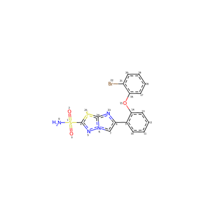 NS(=O)(=O)c1nn2cc(-c3ccccc3Oc3ccccc3Br)nc2s1